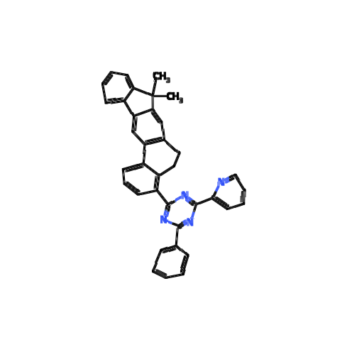 CC1(C)c2ccccc2-c2cc3c(cc21)CCc1c(-c2nc(-c4ccccc4)nc(-c4ccccn4)n2)cccc1-3